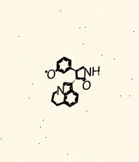 COc1cccc([C@H]2CNC(=O)[C@@H]2c2cn3c4c(cccc24)CCC3)c1